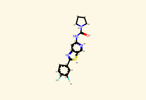 O=C(Nc1cc2nc(-c3ccc(F)c(F)c3)sc2cn1)N1CCCC1